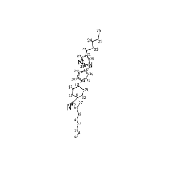 CCCCCCCC[C@]1(C#N)CC[C@H](c2ccc(-c3ncc(CCCCC)cn3)cc2)CC1